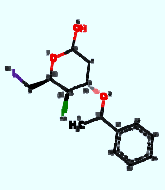 CC(O[C@H]1CC(O)O[C@H](CI)[C@@H]1F)c1ccccc1